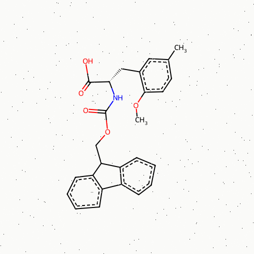 COc1ccc(C)cc1C[C@H](NC(=O)OCC1c2ccccc2-c2ccccc21)C(=O)O